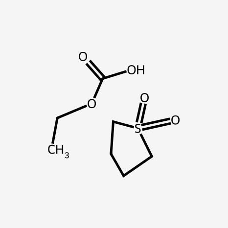 CCOC(=O)O.O=S1(=O)CCCC1